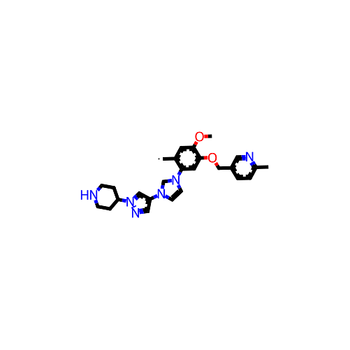 [CH2]c1cc(OC)c(OCc2ccc(C)nc2)cc1N1C=CN(c2cnn(C3CCNCC3)c2)C1